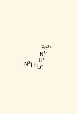 [Fe+3].[Li+].[Li+].[Li+].[N-3].[N-3]